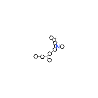 CC1(C)c2ccccc2-c2cc3c4cc(-c5ccc6c(c5)-c5ccccc5C6c5ccc(-c6ccccc6)cc5)ccc4n(-c4ccccc4)c3cc21